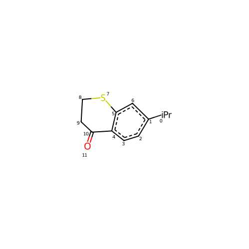 CC(C)c1ccc2c(c1)SCCC2=O